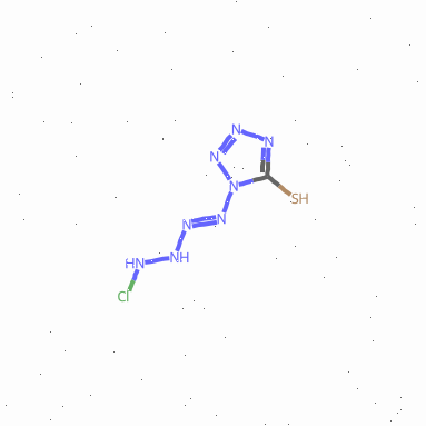 Sc1nnnn1/N=N/NNCl